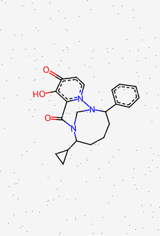 O=C1c2c(O)c(=O)ccn2N2CN1C(C1CC1)CCCC2c1ccccc1